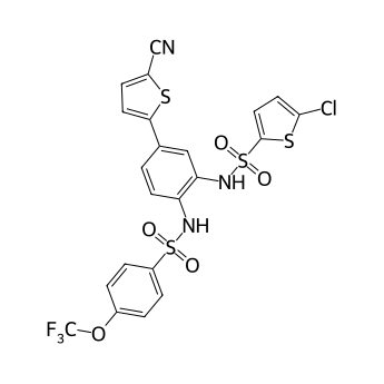 N#Cc1ccc(-c2ccc(NS(=O)(=O)c3ccc(OC(F)(F)F)cc3)c(NS(=O)(=O)c3ccc(Cl)s3)c2)s1